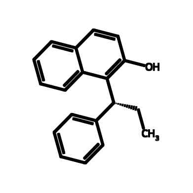 CC[C@H](c1ccccc1)c1c(O)ccc2ccccc12